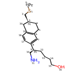 CCCSC[C@H]1CCc2cc([C@H](CN)CCCCO)ccc2C1